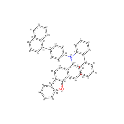 c1ccc(-c2ccccc2N(c2ccc(-c3cccc4ccccc34)cc2)c2cccc3c2ccc2c4ccccc4oc32)cc1